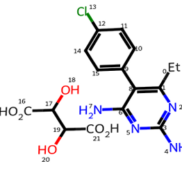 CCc1nc(N)nc(N)c1-c1ccc(Cl)cc1.O=C(O)C(O)C(O)C(=O)O